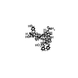 CC(C)C[C@H](NC(=O)[C@H](Cc1ccc(O)cc1)NC(=O)[C@@H](N)CO)C(=O)N[C@@H](CCC(=O)O)C(=O)NCC(=O)N[C@@H](CCC(N)=O)C(=O)N[C@@H](C)C(=O)N[C@@H](C)C(=O)N(C(=O)OCc1ccccc1)[C@@H](CCC(=O)O)C(=O)N[C@@H](Cc1ccccc1)C(=O)O